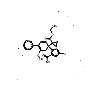 CCOC(=O)C1(C2(c3sc(Cl)cc3C(N)=O)C=CC(c3ccccc3)=C(OC)C2)CC1